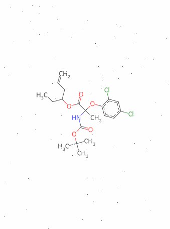 C=CCC(CC)OC(=O)C(C)(NC(=O)OC(C)(C)C)Oc1ccc(Cl)cc1Cl